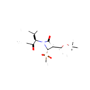 COC(=O)C(=C(C)C)N1C(=O)[C@@H]([C@@H](C)O[Si](C)(C)C(C)(C)C)[C@H]1S(C)(=O)=O